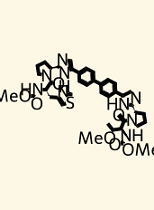 COC(=O)N[C@@H](Cc1cscn1)C(=O)N1CCC[C@H]1c1ncc(-c2ccc(-c3ccc(C4CN=C([C@@H]5CCCN5C(=O)[C@@H](NC(=O)OC)[C@@H](C)OC)N4)cc3)cc2)[nH]1